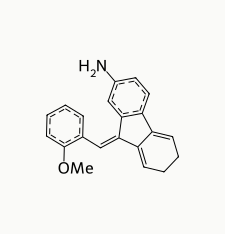 COc1ccccc1C=C1C2=CCCC=C2c2ccc(N)cc21